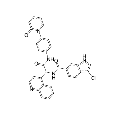 O=C(NC(C(=O)Nc1ccc(-n2ccccc2=O)cc1)c1ccnc2ccccc12)c1ccc2c(Cl)c[nH]c2c1